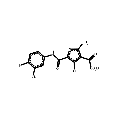 CCOC(=O)C(=O)c1c(C)[nH]c(C(=O)Nc2ccc(F)c(C#N)c2)c1Cl